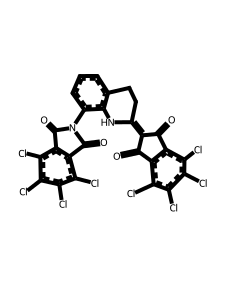 O=C1C(=C2CCc3cccc(N4C(=O)c5c(Cl)c(Cl)c(Cl)c(Cl)c5C4=O)c3N2)C(=O)c2c(Cl)c(Cl)c(Cl)c(Cl)c21